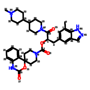 Cc1cc(C[C@@H](OC(=O)N2CCC3(CC2)OC(=O)Nc2ccccc23)C(=O)N2CCC(C3CCN(C)CC3)CC2)cc2cn[nH]c12